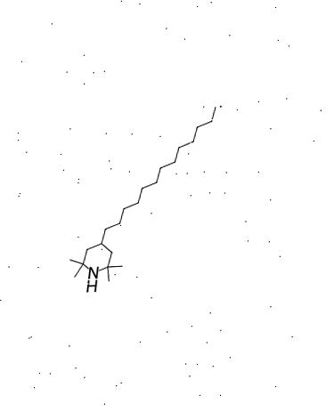 [CH2]CCCCCCCCCCCCC1CC(C)(C)NC(C)(C)C1